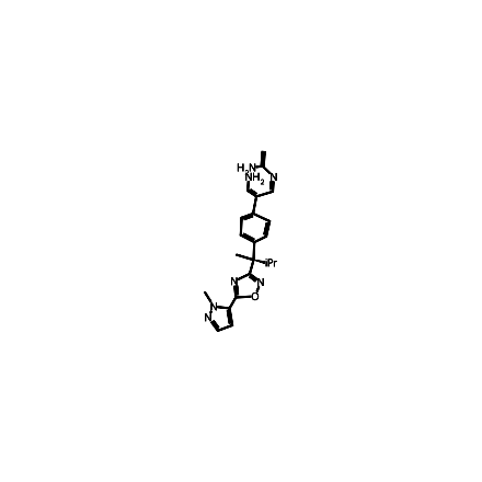 C=C(N)/N=C\C(=C/N)c1ccc([C@@](C)(c2noc(-c3ccnn3C)n2)C(C)C)cc1